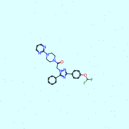 O=C(Cn1nc(-c2ccc(OC(F)F)cc2)nc1-c1ccccc1)N1CCN(c2ncccn2)CC1